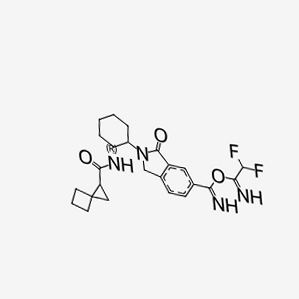 N=C(OC(=N)C(F)F)c1ccc2c(c1)C(=O)N(C1CCCC[C@H]1NC(=O)C1CC13CCC3)C2